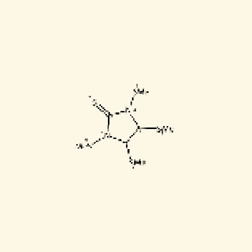 CSC1C(SC)N(SC)C(=S)N1SC